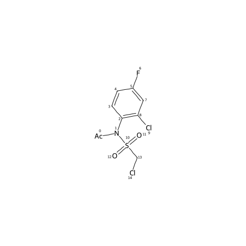 CC(=O)N(c1ccc(F)cc1Cl)S(=O)(=O)CCl